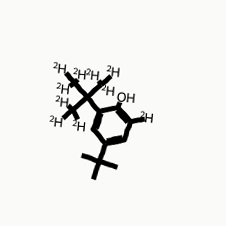 [2H]c1cc(C(C)(C)C)cc(C(C([2H])([2H])[2H])(C([2H])([2H])[2H])C([2H])([2H])[2H])c1O